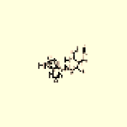 C#C/C=C(\C=C/C)C(C)CNc1ncnc2[nH]cnc12